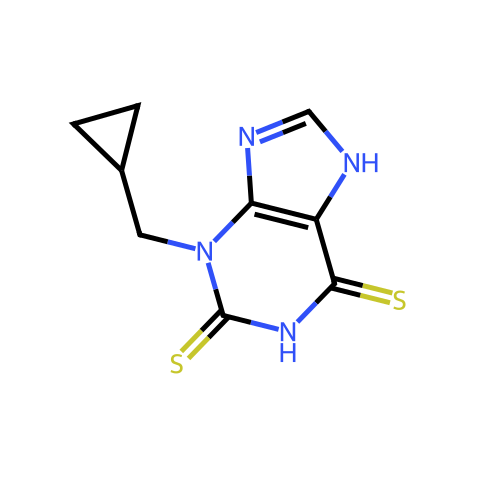 S=c1[nH]c(=S)n(CC2CC2)c2nc[nH]c12